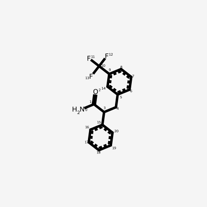 NC(=O)C(Cc1cccc(C(F)(F)F)c1)c1ccccc1